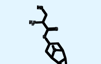 CN1C2CC(OC(=O)C(P)CO)CC1C1OC12